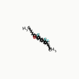 CCCCCCCC1CCC(c2ccc(-c3ccc(-c4ccc(CCCCCC)c(F)c4F)cc3)cc2F)OC1